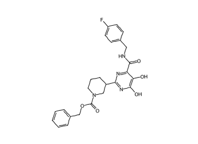 O=C(NCc1ccc(F)cc1)c1nc(C2CCCN(C(=O)OCc3ccccc3)C2)nc(O)c1O